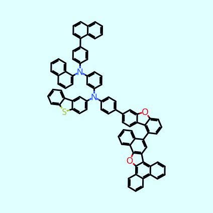 c1cc(N(c2ccc(-c3ccc4c(c3)oc3cccc(-c5cc6c(oc7c8ccccc8c8ccccc8c67)c6ccccc56)c34)cc2)c2ccc3sc4ccccc4c3c2)cc(N(c2ccc(-c3cccc4ccccc34)cc2)c2cccc3ccccc23)c1